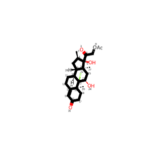 CC(=O)OCC(=O)[C@@]1(O)[C@H](C)C[C@H]2[C@@H]3CCC4=CC(=O)CC[C@]4(C)[C@@]3(F)[C@@H](O)C[C@@]21C